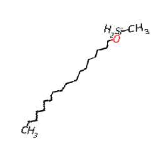 CCCCCCCCCCCCCCCCCCO[SiH2]C